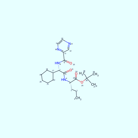 CCC[C@H](NC(=O)[C@@H](NC(=O)c1cnccn1)C1CCCCC1)C(=O)OC(C)(C)C